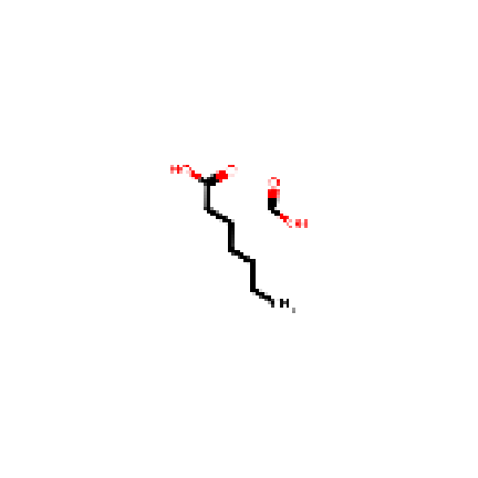 CCCCCCC(=O)O.O=CO